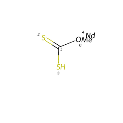 COC(=S)S.[Nd]